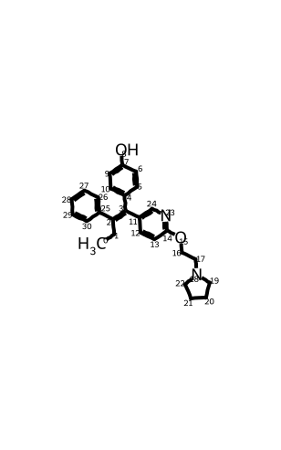 CCC(=C(c1ccc(O)cc1)c1ccc(OCCN2CCCC2)nc1)c1ccccc1